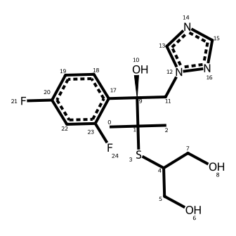 CC(C)(SC(CO)CO)[C@@](O)(Cn1cncn1)c1ccc(F)cc1F